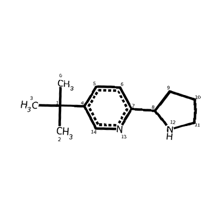 CC(C)(C)c1ccc(C2CCCN2)nc1